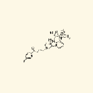 BC1(B)CN2c3c(cccc3N1C)C1CN(CCCC(=O)c3ccc(F)cc3)CC[C@@H]12